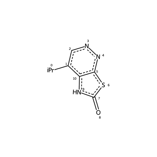 CC(C)c1cnnc2sc(=O)[nH]c12